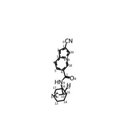 N#Cc1cc2ccc(C(=O)N[C@H]3CN4CCC3CC4)cn2c1